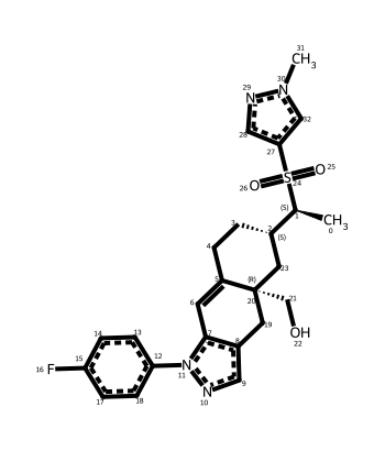 C[C@@H]([C@H]1CCC2=Cc3c(cnn3-c3ccc(F)cc3)C[C@]2(CO)C1)S(=O)(=O)c1cnn(C)c1